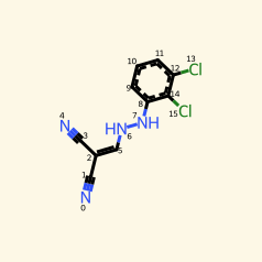 N#CC(C#N)=CNNc1cccc(Cl)c1Cl